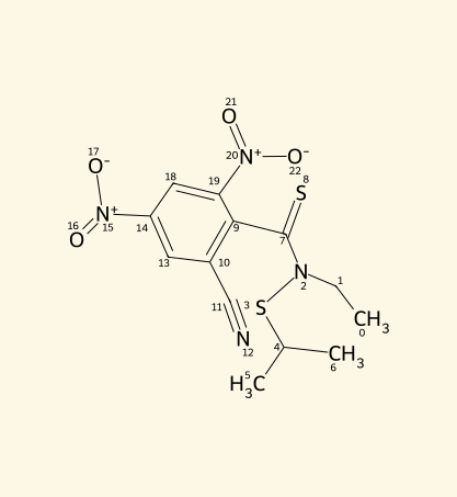 CCN(SC(C)C)C(=S)c1c(C#N)cc([N+](=O)[O-])cc1[N+](=O)[O-]